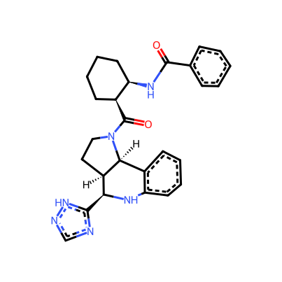 O=C(N[C@@H]1CCCC[C@@H]1C(=O)N1CC[C@@H]2[C@H](c3ncn[nH]3)Nc3ccccc3[C@@H]21)c1ccccc1